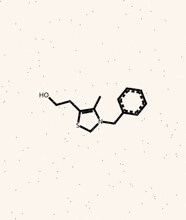 CC1=C(CCO)SCN1Cc1ccccc1